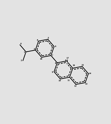 CC(C)c1[c]ccc(-c2ccc3ccccc3n2)c1